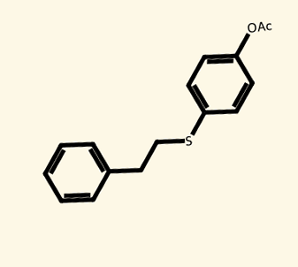 CC(=O)Oc1ccc(SCCc2ccccc2)cc1